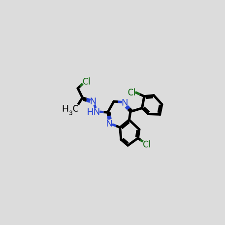 C/C(CCl)=N\NC1=Nc2ccc(Cl)cc2C(c2ccccc2Cl)=NC1